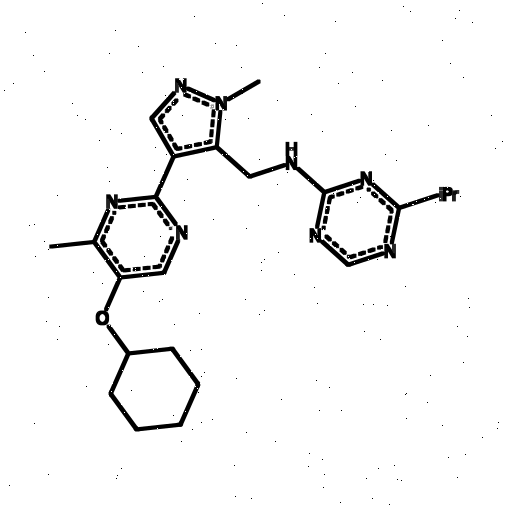 Cc1nc(-c2cnn(C)c2CNc2ncnc(C(C)C)n2)ncc1OC1CCCCC1